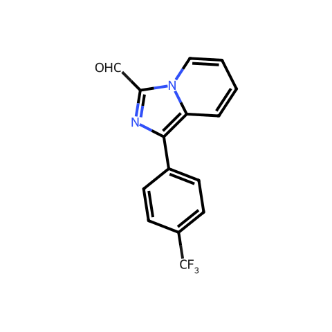 O=Cc1nc(-c2ccc(C(F)(F)F)cc2)c2ccccn12